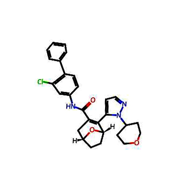 O=C(Nc1ccc(-c2ccccc2)c(Cl)c1)C1=C(c2ccnn2C2CCOCC2)[C@@H]2CC[C@H](C1)O2